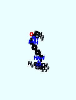 CC(C)C(C)(C)C(=O)NCc1ncc(-c2ccc(-c3ccc(-c4cnc(CN=C(N(C)C)N(C)C)[nH]4)cc3)cc2)[nH]1